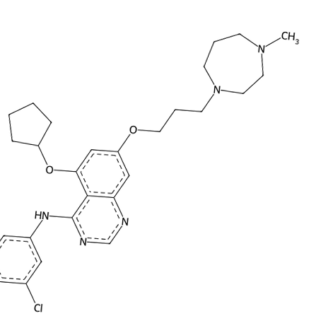 CN1CCCN(CCCOc2cc(OC3CCCC3)c3c(Nc4ccc(F)c(Cl)c4)ncnc3c2)CC1